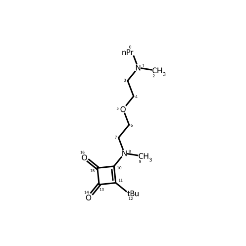 CCCN(C)CCOCCN(C)c1c(C(C)(C)C)c(=O)c1=O